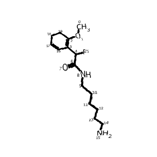 COC1=C(C(F)C(=O)NCCCCCCN)C=CCC1